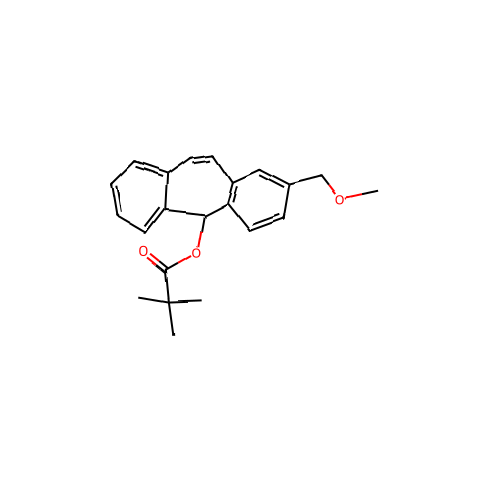 COCc1ccc2c(c1)C=Cc1ccccc1C2OC(=O)C(C)(C)C